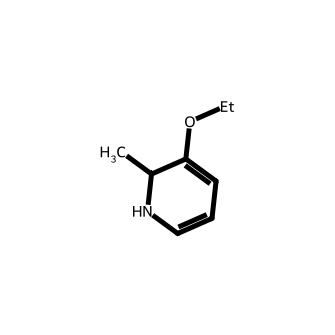 CCOC1=CC=CN[C]1C